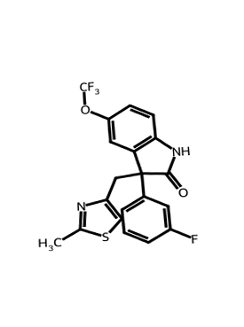 Cc1nc(CC2(c3cccc(F)c3)C(=O)Nc3ccc(OC(F)(F)F)cc32)cs1